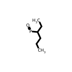 CCCC(CC)P=O